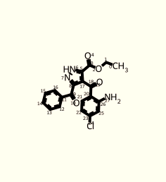 CCOC(=O)c1[nH]nc(C(=O)c2ccccc2)c1C(=O)c1ccc(Cl)cc1N